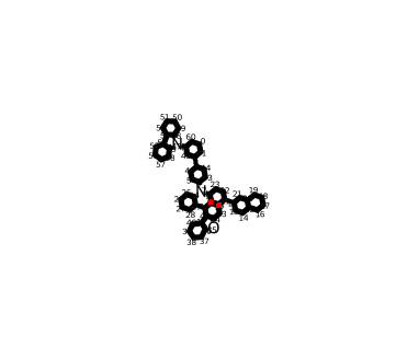 c1cc(-c2ccc(N(c3ccc(-c4ccc5ccccc5c4)cc3)c3ccccc3-c3cccc4oc5ccccc5c34)cc2)cc(-n2c3ccccc3c3ccccc32)c1